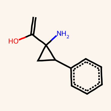 C=C(O)C1(N)CC1c1ccccc1